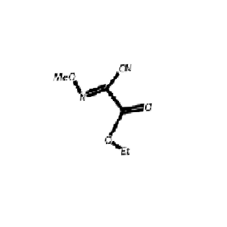 CCOC(=O)C(C#N)=NOC